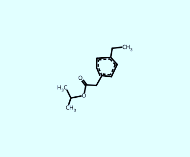 CCc1ccc(CC(=O)OC(C)C)cc1